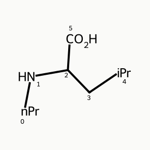 CCCNC(CC(C)C)C(=O)O